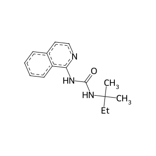 CCC(C)(C)NC(=O)Nc1nccc2ccccc12